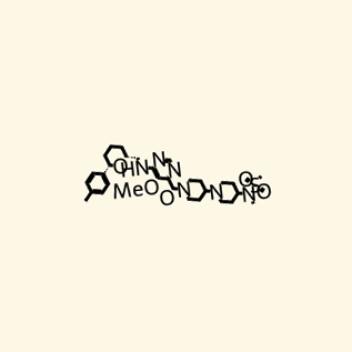 COc1c(NC[C@H]2CCC[C@@H](c3ccc(C)cc3)O2)ncnc1C(=O)N1CCC(N2CCC(N(C)S(C)(=O)=O)CC2)CC1